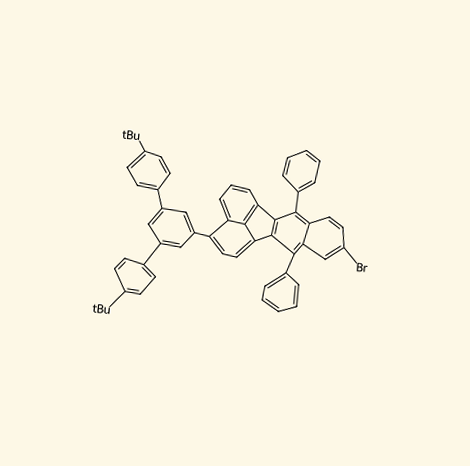 CC(C)(C)c1ccc(-c2cc(-c3ccc(C(C)(C)C)cc3)cc(-c3ccc4c5c(cccc35)-c3c-4c(-c4ccccc4)c4cc(Br)ccc4c3-c3ccccc3)c2)cc1